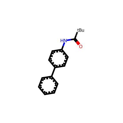 CC(C)(C)C(=O)Nc1ccc(-c2ccccc2)cc1